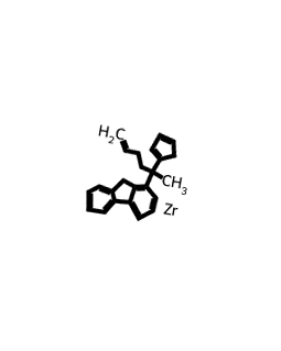 C=CCCC(C)(C1=CC=CC1)c1cccc2c1Cc1ccccc1-2.[Zr]